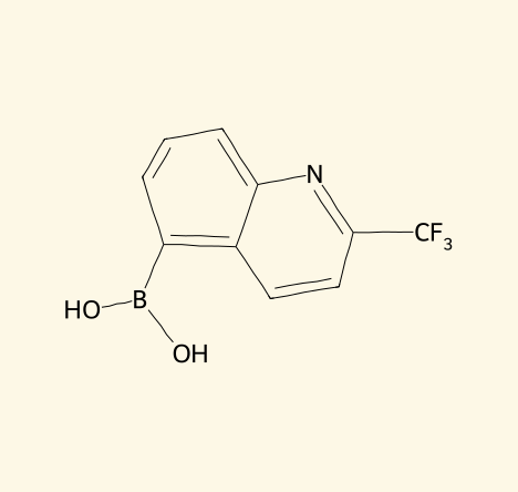 OB(O)c1cccc2nc(C(F)(F)F)ccc12